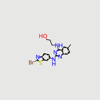 Cc1ccc2nc(Nc3ccc4nc(Br)sc4c3)nc(NCCCO)c2c1